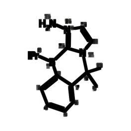 CC(C)B1c2ccccc2C(C)(C)n2cc[n+](N)c21